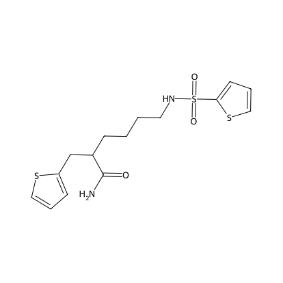 NC(=O)C(CCCCNS(=O)(=O)c1cccs1)Cc1cccs1